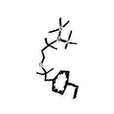 C=Cc1ccc(CC(C)(C)OCCC(C)(C)N(S(C)(C)C)S(C)(C)C)cc1